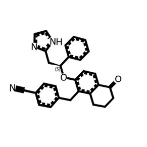 N#Cc1ccc(Cc2c(O[C@@H](Cc3ncc[nH]3)c3ccccc3)ccc3c2CCCC3=O)cc1